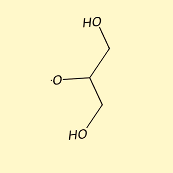 [O]C(CO)CO